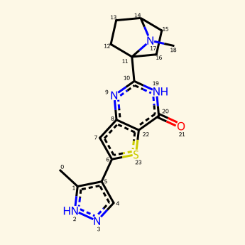 Cc1[nH]ncc1-c1cc2nc(C34CCC(CC3)N4C)[nH]c(=O)c2s1